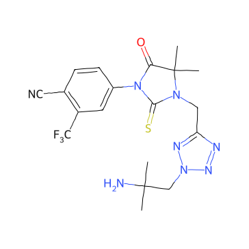 CC(C)(N)Cn1nnc(CN2C(=S)N(c3ccc(C#N)c(C(F)(F)F)c3)C(=O)C2(C)C)n1